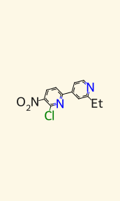 CCc1cc(-c2ccc([N+](=O)[O-])c(Cl)n2)ccn1